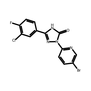 O=c1[nH]c(-c2ccc(F)c(Cl)c2)nn1-c1ccc(Br)cn1